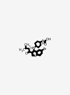 CC(C)CC(=O)c1cnc2ccc(Br)cc2c1NC1CCC(NC(=O)O)CC1